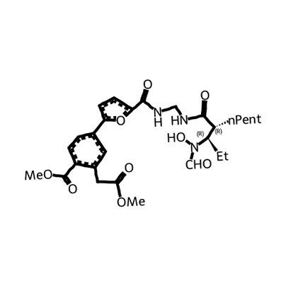 CCCCC[C@@H](C(=O)NCNC(=O)c1ccc(-c2ccc(C(=O)OC)c(CC(=O)OC)c2)o1)[C@@H](CC)N(O)C=O